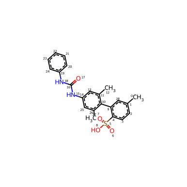 Cc1ccc(S(=O)(=O)O)c(-c2c(C)cc(NC(=O)Nc3ccccc3)cc2C)c1